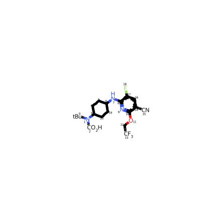 CC(C)(C)N(C(=O)O)C1CCC(Nc2nc(OCC(F)(F)F)c(C#N)cc2F)CC1